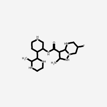 CC1NCCNC1C1CCNCC1NC(=O)C1C(N)NN2CC(F)CNC12